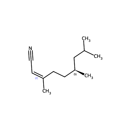 C/C(=C/C#N)CC[C@H](C)CC(C)C